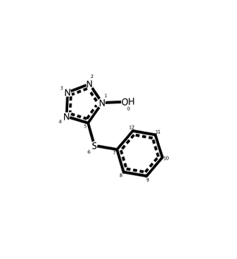 On1nnnc1Sc1ccccc1